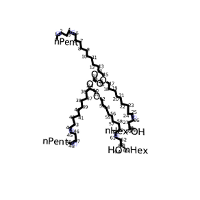 CCCCC/C=C\C/C=C\CCCCCCCCC(COCCCCCCCC/C=C\C[C@H](O)CCCCCC)OC(=O)OC(CCCCCCCC/C=C\C/C=C\CCCCC)COCCCCCCCC/C=C\C[C@H](O)CCCCCC